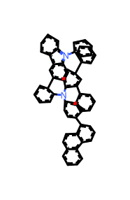 c1ccc(-c2ccc(N(c3ccc(-c4cccc5c4ccc4ccccc45)cc3)c3ccccc3-c3ccc4c(c3)c3ccccc3n4-c3ccccc3)c(-c3ccccc3)c2)cc1